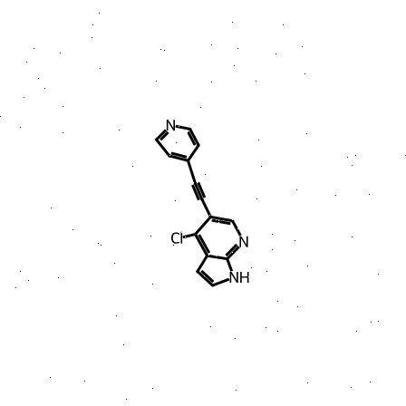 Clc1c(C#Cc2ccncc2)cnc2[nH]ccc12